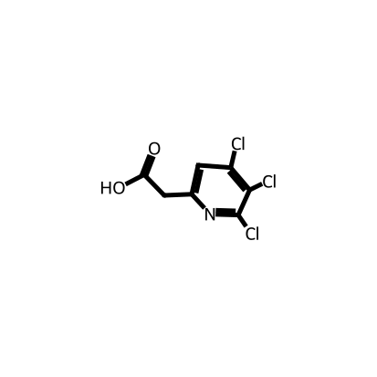 O=C(O)Cc1cc(Cl)c(Cl)c(Cl)n1